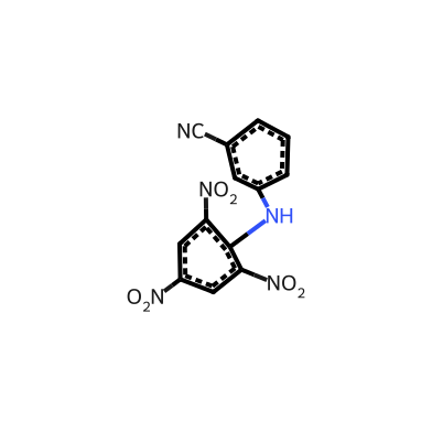 N#Cc1cccc(Nc2c([N+](=O)[O-])cc([N+](=O)[O-])cc2[N+](=O)[O-])c1